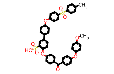 COc1ccc(Oc2ccc(C(=O)c3ccc(Oc4ccc(-c5ccc(Oc6ccc(S(=O)(=O)c7ccc(C)cc7)cc6)cc5)cc4S(=O)(=O)O)cc3)cc2)cc1